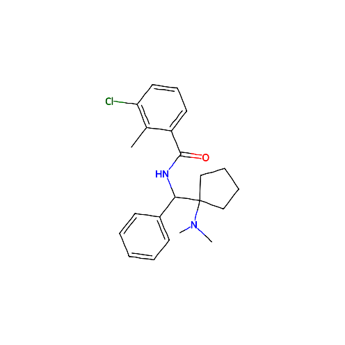 Cc1c(Cl)cccc1C(=O)NC(c1ccccc1)C1(N(C)C)CCCC1